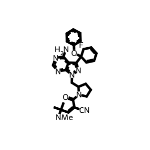 CNC(C)(C)/C=C(/C#N)C(=O)N1CCCC1Cn1nc(C2(Oc3ccccc3)C=CC=CC2F)c2c(N)ncnc21